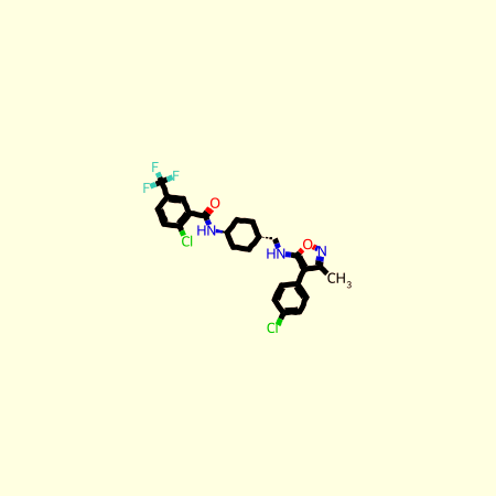 Cc1noc(NC[C@H]2CC[C@H](NC(=O)c3cc(C(F)(F)F)ccc3Cl)CC2)c1-c1ccc(Cl)cc1